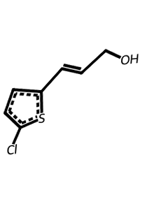 OC/C=C/c1ccc(Cl)s1